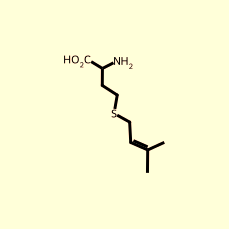 CC(C)=CCSCCC(N)C(=O)O